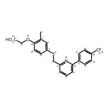 Cc1cc(SCc2cccc(-c3ccc(C(F)(F)F)cc3)n2)ccc1OCC(=O)O